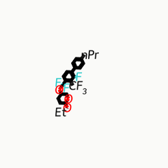 CCCc1ccc(-c2ccc(C(F)(F)OC3CCC(OCC)OC3)c(C(F)(F)F)c2F)cc1